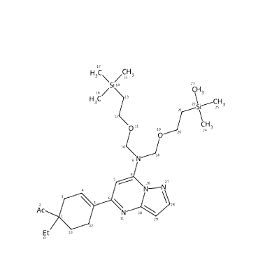 CCC1(C(C)=O)CC=C(c2cc(N(COCC[Si](C)(C)C)COCC[Si](C)(C)C)n3nccc3n2)CC1